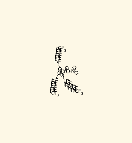 O=C(OCCn1c2ccccc2c2ccccc21)c1cc(OCCCCC(F)(F)C(F)(F)C(F)(F)C(F)(F)C(F)(F)C(F)(F)C(F)(F)C(F)(F)F)c(OCCCCC(F)(F)C(F)(F)C(F)(F)C(F)(F)C(F)(F)C(F)(F)C(F)(F)C(F)(F)F)c(OCCCCC(F)(F)C(F)(F)C(F)(F)C(F)(F)C(F)(F)C(F)(F)C(F)(F)C(F)(F)F)c1